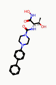 C[C@@H](O)[C@H](NC(=O)N1CCN(c2ccc(-c3ccccc3)cc2)CC1)C(=O)NO